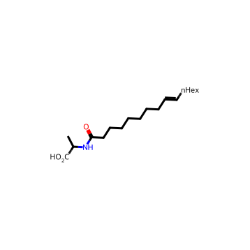 CCCCCCC=CCCCCCCCC(=O)NC(C)C(=O)O